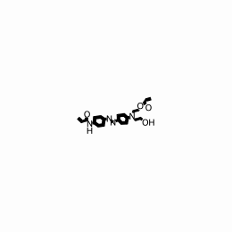 C=CC(=O)Nc1ccc(/N=N/c2ccc(N(CCO)CCOC(=O)C=C)cc2)cc1